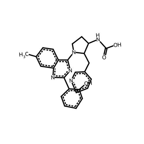 Cc1ccc2c(N3CCC(NC(=O)O)C3Cc3cccnc3)nc(-c3ccccc3O)nc2c1